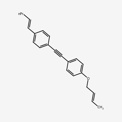 CC=CCOc1ccc(C#Cc2ccc(/C=C/CCC)cc2)cc1